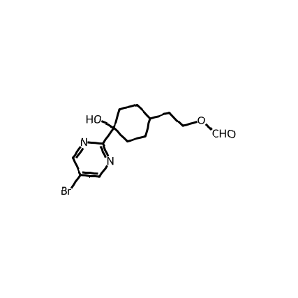 O=COCCC1CCC(O)(c2ncc(Br)cn2)CC1